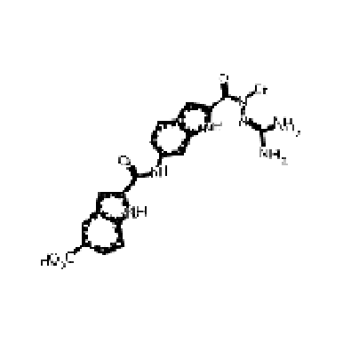 CCN(N=C(N)N)C(=O)c1cc2ccc(NC(=O)c3cc4cc(C(=O)O)ccc4[nH]3)cc2[nH]1